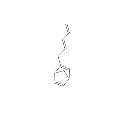 C=CC=CCC1=CC2C=CC1C2